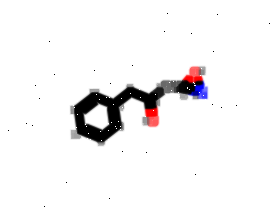 C1=NO1.COC(=O)Cc1ccccc1